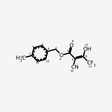 Cc1ccc(COC(=O)/C(C#N)=C(\O)C(F)(F)F)cc1